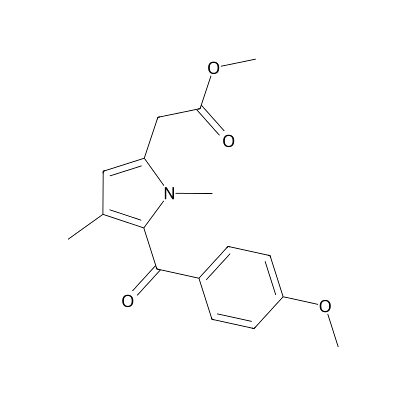 COC(=O)Cc1cc(C)c(C(=O)c2ccc(OC)cc2)n1C